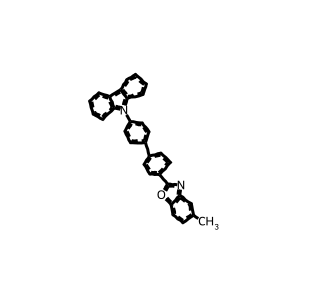 Cc1ccc2oc(-c3ccc(-c4ccc(-n5c6ccccc6c6ccccc65)cc4)cc3)nc2c1